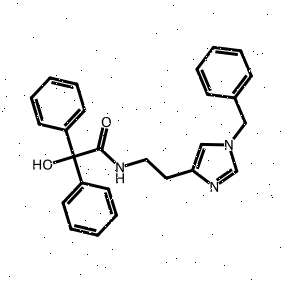 O=C(NCCc1cn(Cc2ccccc2)cn1)C(O)(c1ccccc1)c1ccccc1